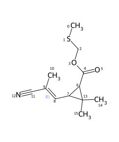 CSCOC(=O)C1C(/C=C(\C)C#N)C1(C)C